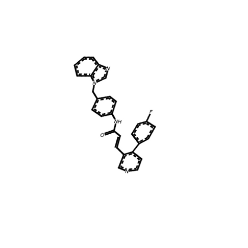 O=C(C=Cc1cnccc1-c1ccc(F)cc1)Nc1ccc(Cn2cnc3ccccc32)cc1